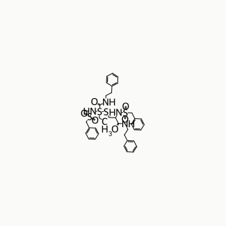 CCS(NS(=O)(=O)Cc1ccccc1)(SCC(NS(=O)(=O)Cc1ccccc1)C(=O)NCCc1ccccc1)C(=O)NCCc1ccccc1